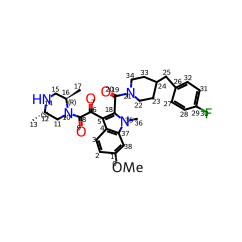 COc1ccc2c(C(=O)C(=O)N3C[C@H](C)NC[C@H]3C)c(C(=O)N3CCC(Cc4ccc(F)cc4)CC3)n(C)c2c1